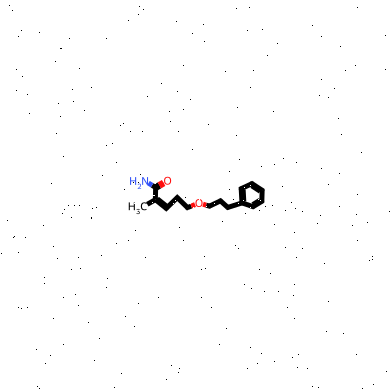 CC(=CCCOCCCc1ccccc1)C(N)=O